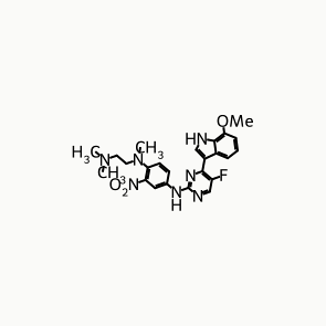 COc1cccc2c(-c3nc(Nc4ccc(N(C)CCN(C)C)c([N+](=O)[O-])c4)ncc3F)c[nH]c12